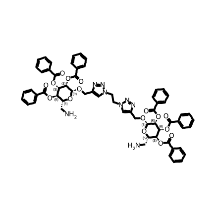 NC[C@@H]1O[C@H](OCc2cn(CCn3cc(CO[C@@H]4O[C@H](CN)[C@@H](OC(=O)c5ccccc5)[C@H](OC(=O)c5ccccc5)[C@@H]4OC(=O)c4ccccc4)nn3)nn2)[C@H](OC(=O)c2ccccc2)[C@H](OC(=O)c2ccccc2)[C@H]1OC(=O)c1ccccc1